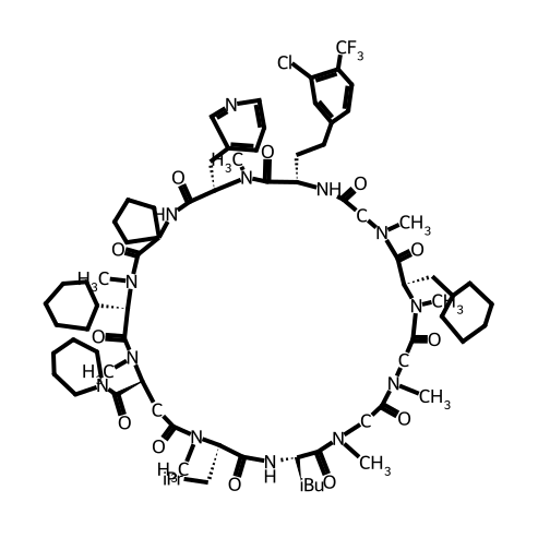 CC[C@H](C)[C@@H]1NC(=O)[C@H](CC(C)C)N(C)C(=O)C[C@@H](C(=O)N2CCCCC2)N(C)C(=O)[C@H](C2CCCCC2)N(C)C(=O)C2(CCCC2)NC(=O)[C@H](Cc2cccnc2)N(C)C(=O)[C@H](CCc2ccc(C(F)(F)F)c(Cl)c2)NC(=O)CN(C)C(=O)[C@H](CC2CCCCC2)N(C)C(=O)CN(C)C(=O)CN(C)C1=O